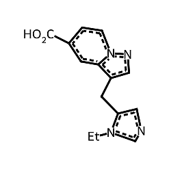 CCn1cncc1Cc1cnn2ccc(C(=O)O)cc12